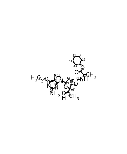 CCOc1nc(N)nc2c1ncn2[C@@H](CF)O[C@](F)(COCNC(C)C(=O)OC1CCCCC1)[C@H](C)O